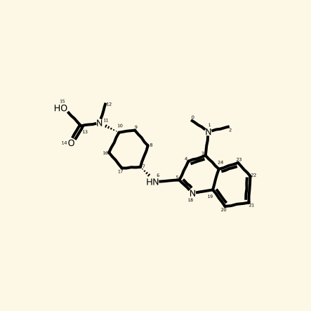 CN(C)c1cc(N[C@H]2CC[C@@H](N(C)C(=O)O)CC2)nc2ccccc12